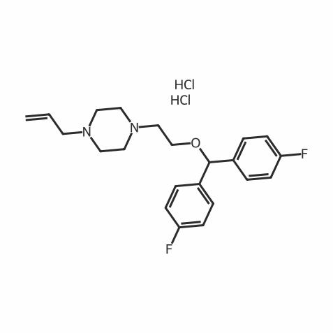 C=CCN1CCN(CCOC(c2ccc(F)cc2)c2ccc(F)cc2)CC1.Cl.Cl